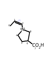 C/C=C\N1CCC(C(=O)O)C1